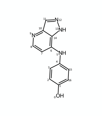 Oc1ccc(Nc2ccnc3cn[nH]c23)cc1